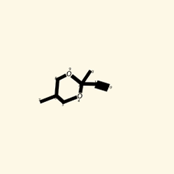 C#CC1(C)OCC(C)CO1